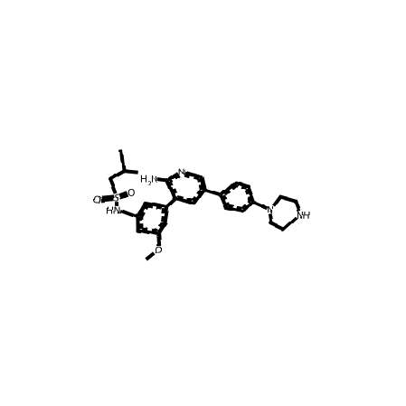 COc1cc(NS(=O)(=O)CC(C)C)cc(-c2cc(-c3ccc(N4CCNCC4)cc3)cnc2N)c1